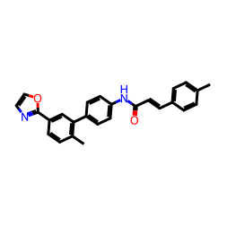 Cc1ccc(/C=C/C(=O)Nc2ccc(-c3cc(-c4ncco4)ccc3C)cc2)cc1